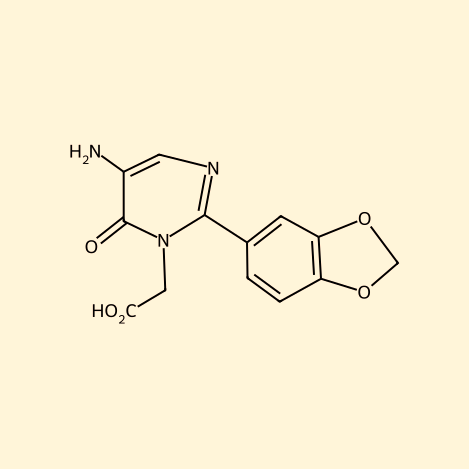 Nc1cnc(-c2ccc3c(c2)OCO3)n(CC(=O)O)c1=O